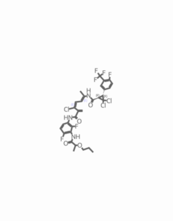 C=C(C(=O)Nc1ccc(F)c(NC(=O)C(C)OCCC)c1F)/C(Cl)=C\C=C(/C)NC(=O)[C@H]1[C@H](c2ccc(F)c(C(F)(F)F)c2)C1(Cl)Cl